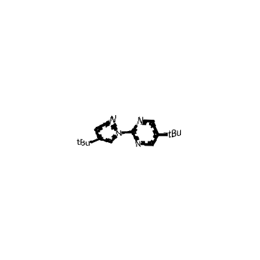 CC(C)(C)c1cnc(-n2cc(C(C)(C)C)cn2)nc1